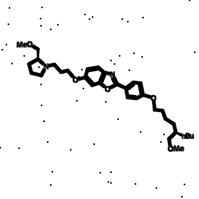 CCCC[C@H](CCCCOc1ccc(-c2nc3ccc(OCCCN4CCC[C@H]4COC)cc3o2)cc1)COC